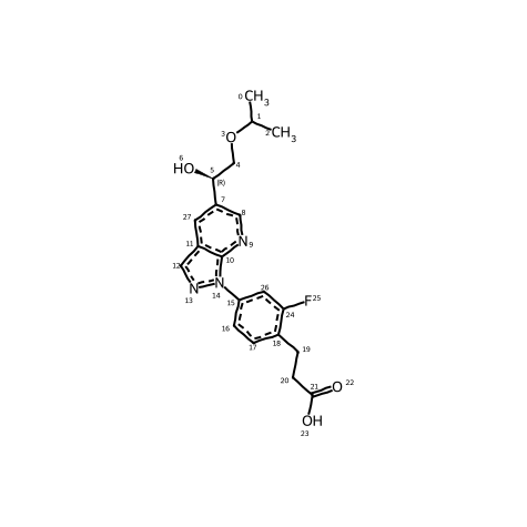 CC(C)OC[C@H](O)c1cnc2c(cnn2-c2ccc(CCC(=O)O)c(F)c2)c1